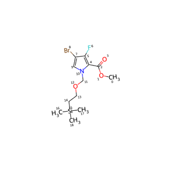 COC(=O)c1c(F)c(Br)cn1COCC[Si](C)(C)C